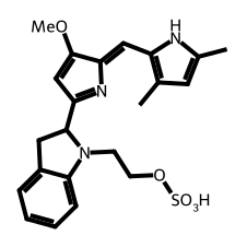 COC1=CC(C2Cc3ccccc3N2CCOS(=O)(=O)O)=N/C1=C\c1[nH]c(C)cc1C